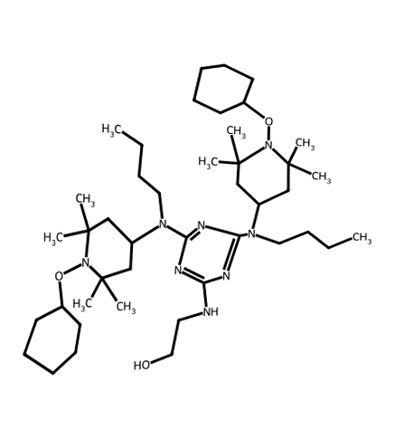 CCCCN(c1nc(NCCO)nc(N(CCCC)C2CC(C)(C)N(OC3CCCCC3)C(C)(C)C2)n1)C1CC(C)(C)N(OC2CCCCC2)C(C)(C)C1